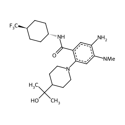 CNc1cc(N2CCC(C(C)(C)O)CC2)c(C(=O)N[C@H]2CC[C@H](C(F)(F)F)CC2)cc1N